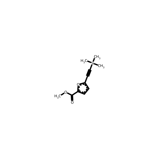 COC(=O)c1ccc(C#C[Si](C)(C)C)o1